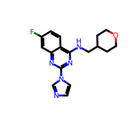 Fc1ccc2c(NCC3CCOCC3)nc(-n3ccnc3)nc2c1